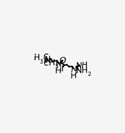 CN(C)CCCNC(=O)C(I)CCCNC(=N)N